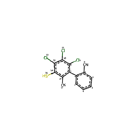 N#Cc1ccccc1-c1c(Cl)c(Cl)c(Cl)c(S)c1C#N